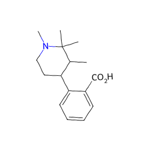 CC1C(c2ccccc2C(=O)O)CCN(C)C1(C)C